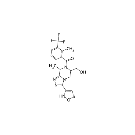 Cc1c(C(=O)N2C(CO)Cn3c(C4=CSON4)nnc3C2C)cccc1C(F)(F)F